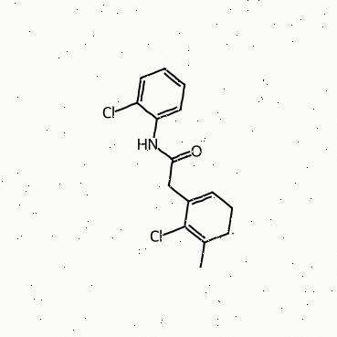 CC1=C(Cl)C(CC(=O)Nc2ccccc2Cl)=CC[CH]1